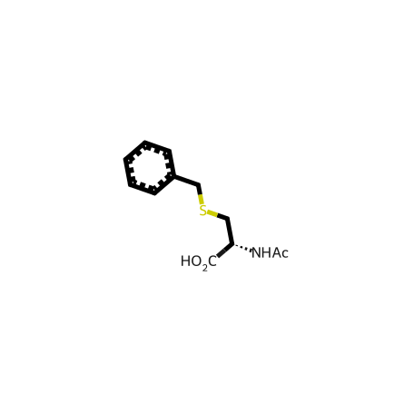 CC(=O)N[C@@H](CSCc1ccccc1)C(=O)O